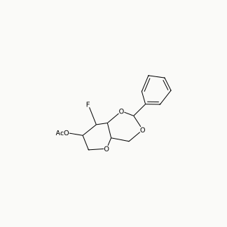 CC(=O)OC1COC2COC(c3ccccc3)OC2C1F